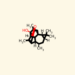 CC1=C[C@H]2[C@H](C)C[C@@H]3[C@H]([C@@H]4C=C(C)[C@]5(O)C(=O)O[C@@]42[C@@H]15)C3(C)C